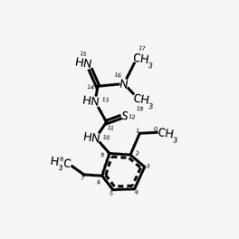 CCc1cccc(CC)c1NC(=S)NC(=N)N(C)C